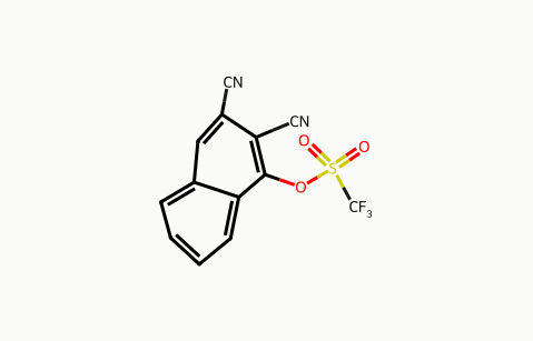 N#Cc1cc2ccccc2c(OS(=O)(=O)C(F)(F)F)c1C#N